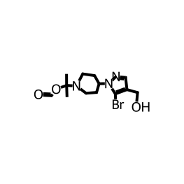 CC(C)(OC=O)N1CCC(n2ncc(CO)c2Br)CC1